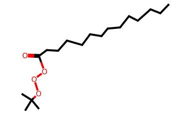 CCCCCCCCCCCCCC(=O)OOOC(C)(C)C